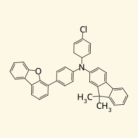 CC1(C)c2ccccc2-c2ccc(N(c3ccc(-c4cccc5c4oc4ccccc45)cc3)C3C=CC(Cl)=CC3)cc21